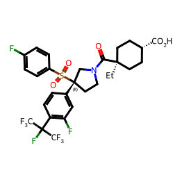 CC[C@]1(C(=O)N2CC[C@](c3ccc(C(F)(C(F)(F)F)C(F)(F)F)c(F)c3)(S(=O)(=O)c3ccc(F)cc3)C2)CC[C@H](C(=O)O)CC1